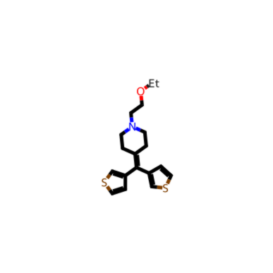 CCOCCN1CCC(=C(c2ccsc2)c2ccsc2)CC1